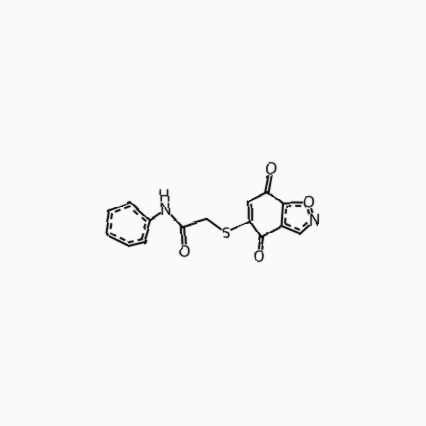 O=C(CSC1=CC(=O)c2oncc2C1=O)Nc1ccccc1